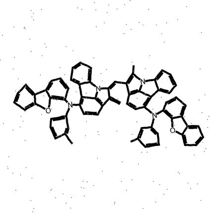 C=c1/c(=C\c2c(C)n3c4ccccc4c4c(N(c5cccc(C)c5)c5cccc6c5oc5ccccc56)ccc2c43)n2c3ccccc3c3c(N(c4cccc(C)c4)c4cccc5c4oc4ccccc45)ccc1c32